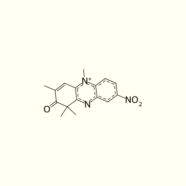 CC1=Cc2c(nc3cc([N+](=O)[O-])ccc3[n+]2C)C(C)(C)C1=O